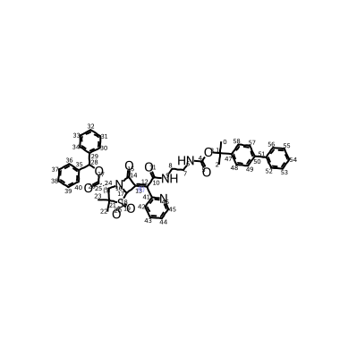 CC(C)(OC(=O)NCCNC(=O)/C(=C1\C(=O)N2C1S(=O)(=O)C(C)(C)[C@@H]2C(=O)OC(c1ccccc1)c1ccccc1)c1ccccn1)c1ccc(-c2ccccc2)cc1